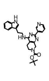 CC(C)(C)OC(=O)N1CCc2c(nc(-c3cccnc3)nc2NCCc2c[nH]c3ccccc23)C1